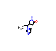 CCC(C1CNC(=O)C1)n1ccnc1